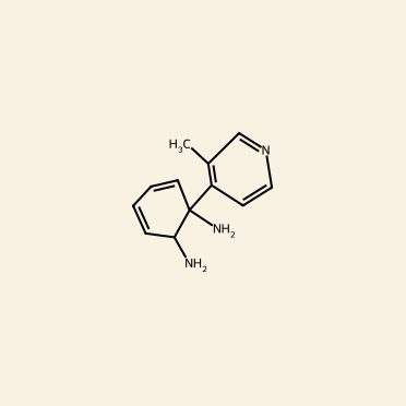 Cc1cnccc1C1(N)C=CC=CC1N